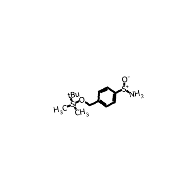 CC(C)(C)[Si](C)(C)OCc1ccc([S+](N)[O-])cc1